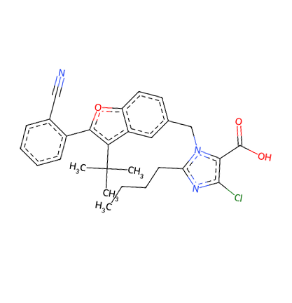 CCCCc1nc(Cl)c(C(=O)O)n1Cc1ccc2oc(-c3ccccc3C#N)c(C(C)(C)C)c2c1